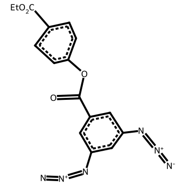 CCOC(=O)c1ccc(OC(=O)c2cc(N=[N+]=[N-])cc(N=[N+]=[N-])c2)cc1